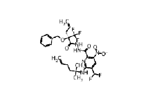 C=CCCC(C)(C)Nc1nc(C(=O)NNC(=O)[C@@](CC=C)(OCc2ccccc2)C(F)(F)F)c([N+](=O)[O-])cc1C(F)F